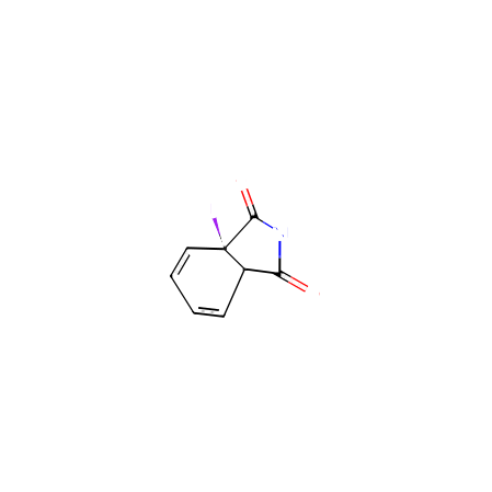 O=C1NC(=O)[C@@]2(I)C=CC=CC12